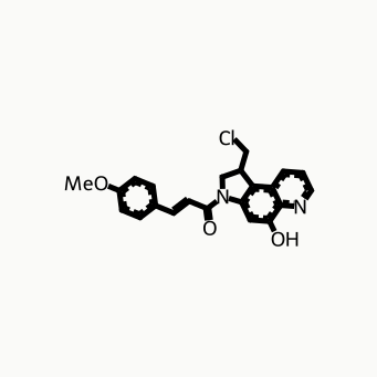 COc1ccc(C=CC(=O)N2CC(CCl)c3c2cc(O)c2ncccc32)cc1